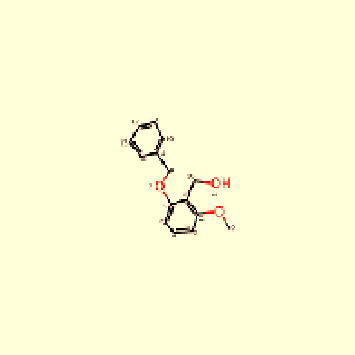 COc1cccc(OCc2ccccc2)c1CO